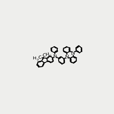 CC1(C)c2ccccc2-c2ccc(N(c3ccccc3)c3cccc(N4c5ccccc5N(c5ccccc5)c5ccccc54)c3)cc21